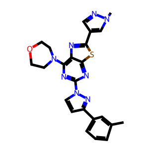 Cc1cccc(-c2ccn(-c3nc(N4CCOCC4)c4nc(-c5cnn(C)c5)sc4n3)n2)c1